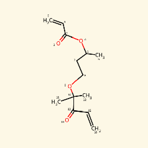 C=CC(=O)OC(C)CCOC(C)(C)C(=O)C=C